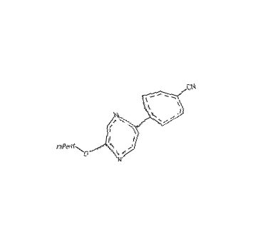 CCCCCOc1cnc(-c2ccc(C#N)cc2)cn1